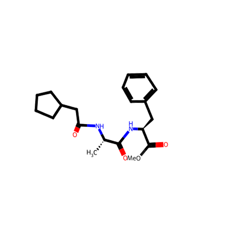 COC(=O)[C@H](Cc1ccccc1)NC(=O)[C@H](C)NC(=O)CC1CCCC1